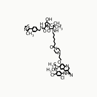 COc1cc(Nc2c(C#N)cnc3cc(OCCCN4CCN(C(=O)CCCCCCN[C@H](C(=O)N5CC(O)CC5C(=O)NCc5ccc(-c6scnc6C)cc5)C(C)(C)C)CC4)c(OC)cc23)c(Cl)cc1Cl